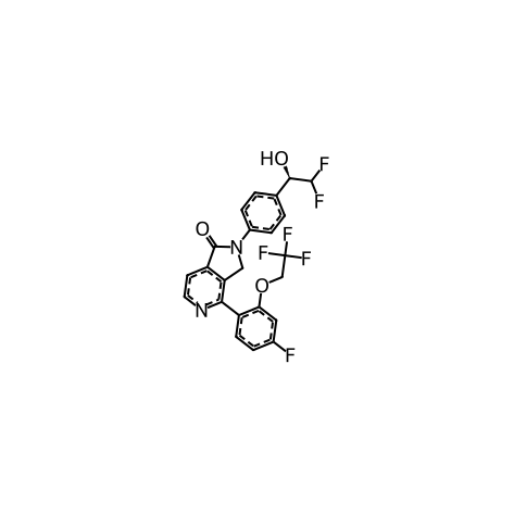 O=C1c2ccnc(-c3ccc(F)cc3OCC(F)(F)F)c2CN1c1ccc([C@@H](O)C(F)F)cc1